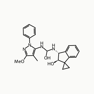 COc1nn(-c2ccccc2)c(NC(O)N[C@@H]2c3ccccc3C3(CC3)[C@H]2O)c1C